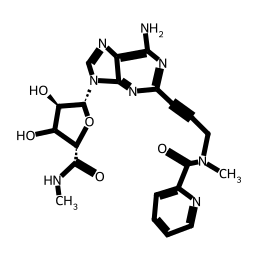 CNC(=O)[C@H]1O[C@@H](n2cnc3c(N)nc(C#CCN(C)C(=O)c4ccccn4)nc32)[C@H](O)C1O